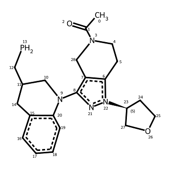 CC(=O)N1CCc2c(c(N3CC(CP)Cc4ccccc43)nn2[C@H]2CCOC2)C1